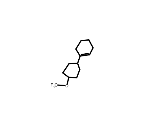 FC(F)(F)OC1CCC(C2=CCCCC2)CC1